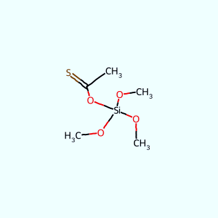 CO[Si](OC)(OC)OC(C)=S